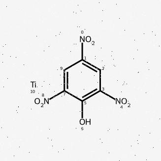 O=[N+]([O-])c1cc([N+](=O)[O-])c(O)c([N+](=O)[O-])c1.[Ti]